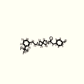 O=C(Cc1ccc(F)cc1)N1CC2(CN(CCc3cccc(C(F)(F)F)c3)C2)C1